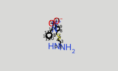 N=C(N)CCSCc1ccc([N+](=O)[O-])n1Cc1ccccc1